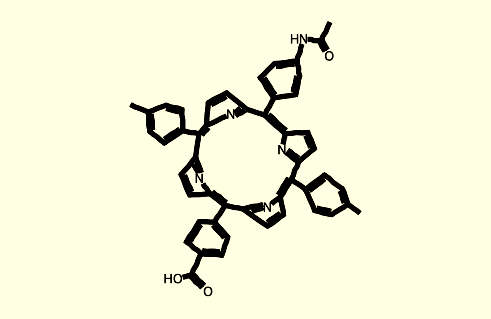 CC(=O)Nc1ccc(C2=C3C=CC(=N3)C(c3ccc(C)cc3)=C3C=CC(=N3)C(c3ccc(C(=O)O)cc3)=C3C=CC(=N3)C(c3ccc(C)cc3)=C3C=CC2=N3)cc1